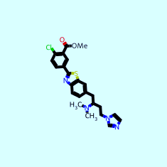 COC(=O)c1cc(-c2nc3ccc(CC(CCn4ccnc4)N(C)C)cc3s2)ccc1Cl